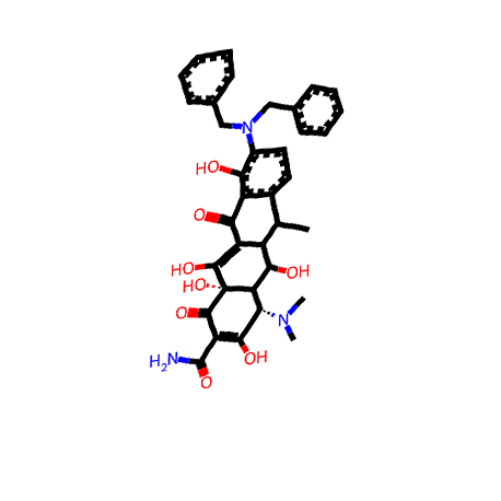 CC1c2ccc(N(Cc3ccccc3)Cc3ccccc3)c(O)c2C(=O)C2=C(O)[C@]3(O)C(=O)C(C(N)=O)=C(O)[C@@H](N(C)C)C3C(O)C21